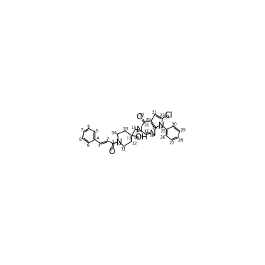 O=C(/C=C/c1ccccc1)N1CCC(O)(Cn2cnc3c(cc(Cl)n3-c3ccccc3)c2=O)CC1